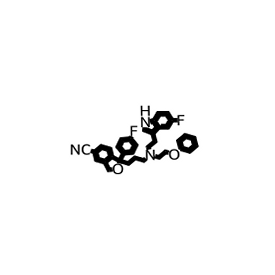 N#Cc1ccc2c(c1)COC2(CCCN(CCOc1ccccc1)CCc1c[nH]c2ccc(F)cc12)c1ccc(F)cc1